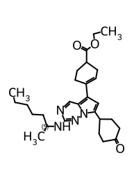 CCCCC[C@H](C)Nc1ncc2c(C3=CCC(C(=O)OCC)CC3)cc(C3CCC(=O)CC3)n2n1